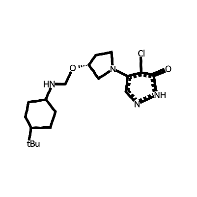 CC(C)(C)C1CCC(NCO[C@@H]2CCN(c3cn[nH]c(=O)c3Cl)C2)CC1